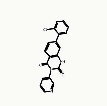 O=c1[nH]c2cc(-c3ccccc3Cl)ccc2c(=O)n1-c1cccnc1